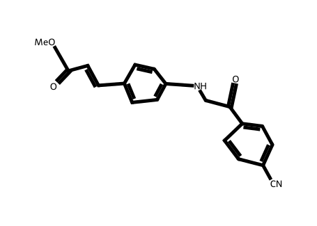 COC(=O)C=Cc1ccc(NCC(=O)c2ccc(C#N)cc2)cc1